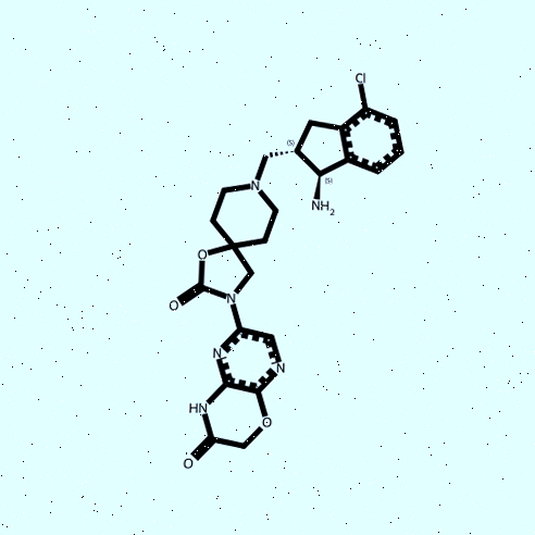 N[C@@H]1c2cccc(Cl)c2C[C@H]1CN1CCC2(CC1)CN(c1cnc3c(n1)NC(=O)CO3)C(=O)O2